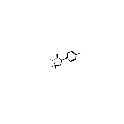 CC1(C)CC(c2ccc(Cl)cc2)C(=O)N1C(=O)O